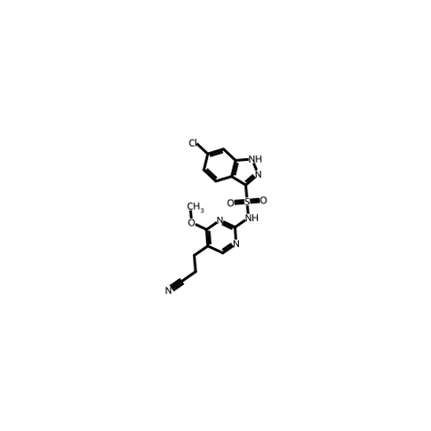 COc1nc(NS(=O)(=O)c2n[nH]c3cc(Cl)ccc23)ncc1CCC#N